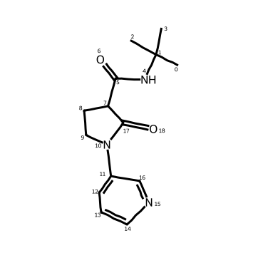 CC(C)(C)NC(=O)C1CCN(c2cccnc2)C1=O